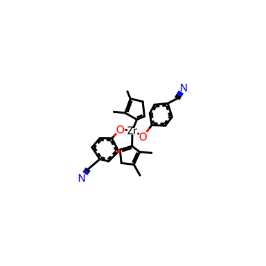 CC1=C(C)[C]([Zr]([O]c2ccc(C#N)cc2)([O]c2ccc(C#N)cc2)[C]2=CCC(C)=C2C)=CC1